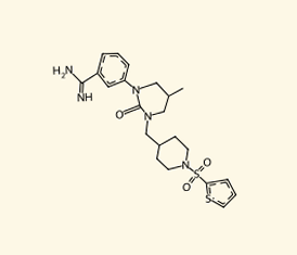 CC1CN(CC2CCN(S(=O)(=O)c3cccs3)CC2)C(=O)N(c2cccc(C(=N)N)c2)C1